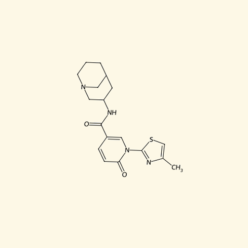 Cc1csc(-n2cc(C(=O)NC3CC4CCCN(C4)C3)ccc2=O)n1